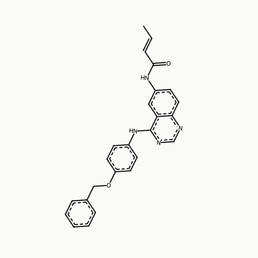 CC=CC(=O)Nc1ccc2ncnc(Nc3ccc(OCc4ccccc4)cc3)c2c1